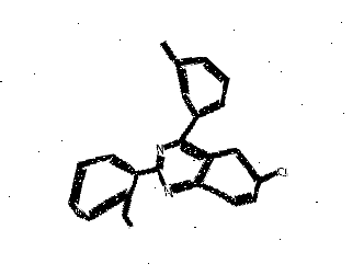 Cc1cccc(-c2nc(-c3ccccc3C)nc3ccc(Cl)cc23)c1